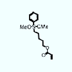 C=CC(=O)OCCCCC[Si](OC)(OC)c1ccccc1